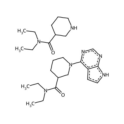 CCN(CC)C(=O)C1CCCN(c2ncnc3[nH]ccc23)C1.CCN(CC)C(=O)C1CCCNC1